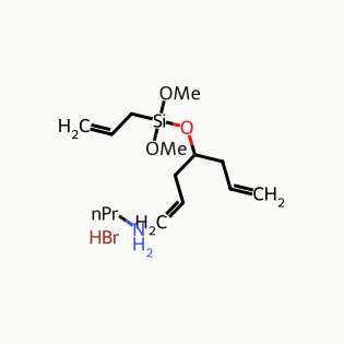 Br.C=CCC(CC=C)O[Si](CC=C)(OC)OC.CCCN